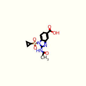 CC(=O)NC1N=C2C=C(C(=O)O)CC=C2N1S(=O)(=O)C1CC1